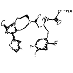 CC(C)(C)OC(=O)N[C@@H](CC(=O)N1CCn2c(C(F)(F)F)nc(-c3cccs3)c2C1)Cc1cc(F)c(F)cc1F